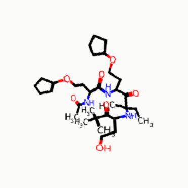 CCC(C)(NC(CCO)C(=O)C(C)(C)C)C(=O)C(CCOC1CCCC1)NC(=O)C(CCOC1CCCC1)NC(C)=O